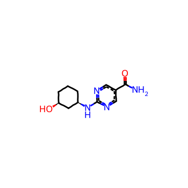 NC(=O)c1cnc(N[C@@H]2CCC[C@H](O)C2)nc1